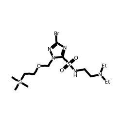 CCN(CC)CCNS(=O)(=O)c1nc(Br)nn1COCC[Si](C)(C)C